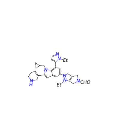 CCN1C2=C(CN(C=O)C2)CN1c1cc(-c2ccnn2CC)c2c(c1)cc(C1=CCCNC1)n2CC1CC1